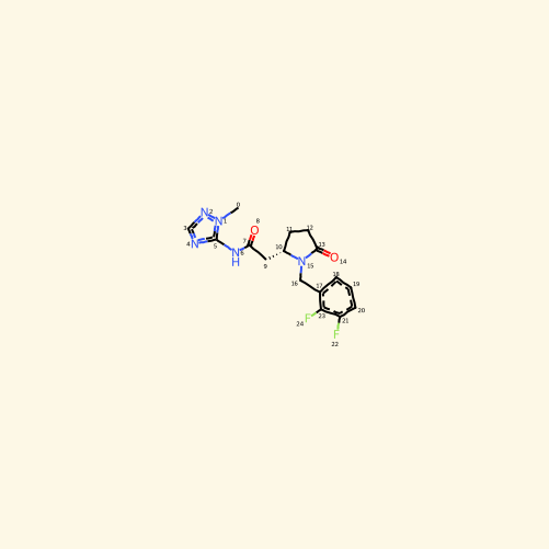 Cn1ncnc1NC(=O)C[C@@H]1CCC(=O)N1Cc1cccc(F)c1F